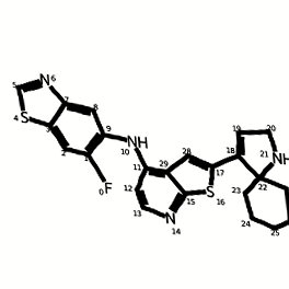 Fc1cc2scnc2cc1Nc1ccnc2sc(C3=CCNC34CCCCC4)cc12